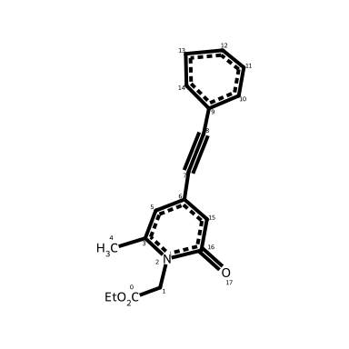 CCOC(=O)Cn1c(C)cc(C#Cc2ccccc2)cc1=O